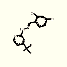 FC(F)(F)c1ccnc(N/N=C/c2ccc(Cl)cc2Cl)n1